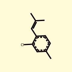 CC(C)=Cc1ccc(C)cc1Cl